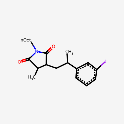 CCCCCCCCN1C(=O)C(C)C(CC(C)c2cccc(I)c2)C1=O